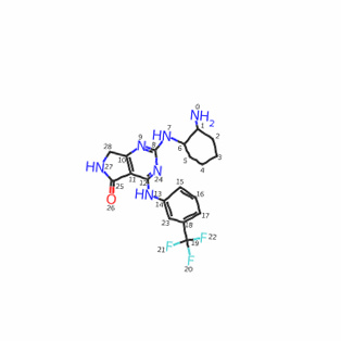 NC1CCCCC1Nc1nc2c(c(Nc3cccc(C(F)(F)F)c3)n1)C(=O)NC2